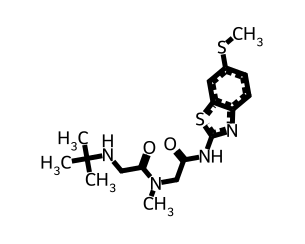 CSc1ccc2nc(NC(=O)CN(C)C(=O)CNC(C)(C)C)sc2c1